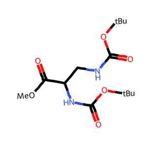 COC(=O)C(CNC(=O)OC(C)(C)C)NC(=O)OC(C)(C)C